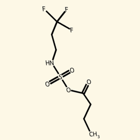 CCCC(=O)OS(=O)(=O)NCCC(F)(F)F